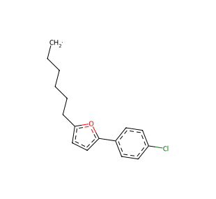 [CH2]CCCCCc1ccc(-c2ccc(Cl)cc2)o1